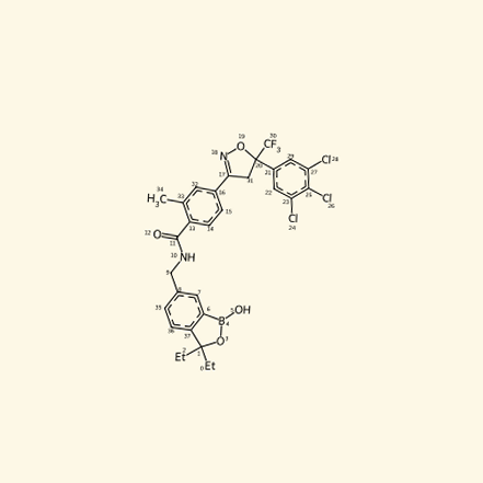 CCC1(CC)OB(O)c2cc(CNC(=O)c3ccc(C4=NOC(c5cc(Cl)c(Cl)c(Cl)c5)(C(F)(F)F)C4)cc3C)ccc21